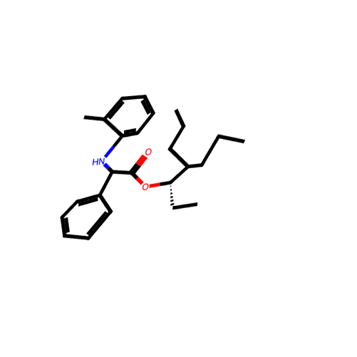 CCCC(CCC)[C@H](CC)OC(=O)C(Nc1ccccc1C)c1ccccc1